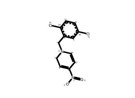 O=[N+]([O-])C1=CCN(Cc2cc(Cl)ccc2Cl)C=C1